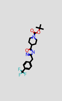 CC(C)(C)OC(=O)N1CCC(c2nc(Cc3ccc(C(F)(F)F)cc3)no2)CC1